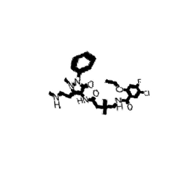 CCOc1cc(F)c(Cl)cc1C(=O)NCC(C)(C)CC(=O)Nc1c(CCNC)n(C)n(-c2ccccc2)c1=O